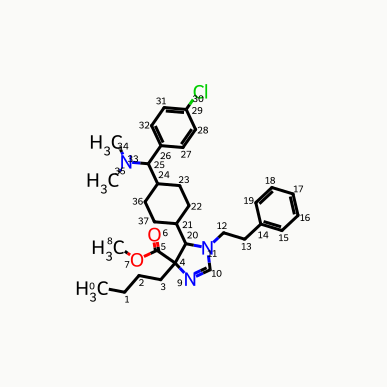 CCCCC1(C(=O)OC)N=CN(CCc2ccccc2)C1C1CCC(C(c2ccc(Cl)cc2)N(C)C)CC1